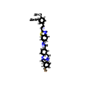 COc1ccc(/C=C/c2nc3ccc(/N=C/c4ccc5c(c4)CN4CN5Cc5cc(Br)ccc54)cc3s2)cc1OC